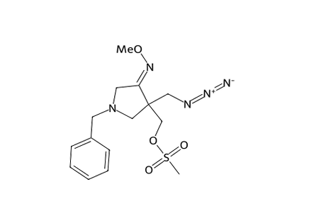 CO/N=C1\CN(Cc2ccccc2)CC1(CN=[N+]=[N-])COS(C)(=O)=O